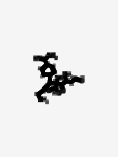 N=C(N)c1ccc(C(C#CCN)C(N)(C(=O)O)C(=O)C(N)CC=O)cc1